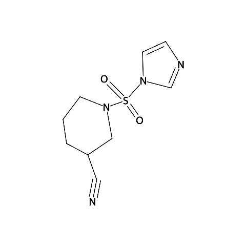 N#CC1CCCN(S(=O)(=O)n2ccnc2)C1